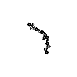 CN(C)CCOB(Cc1ccc(OCc2ccc(BOCC(c3ccccc3)N(C)C)cc2)cc1)Cc1ccc(OCc2ccc(BOCC(c3ccccc3)N(C)C)cc2)cc1